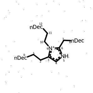 CCCCCCCCCCCCc1c[nH]c(CCCCCCCCCCC)[n+]1CCCCCCCCCCCC